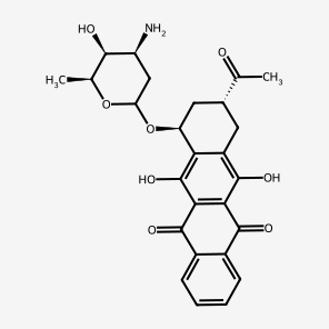 CC(=O)[C@@H]1Cc2c(O)c3c(c(O)c2[C@@H](OC2C[C@H](N)[C@H](O)[C@H](C)O2)C1)C(=O)c1ccccc1C3=O